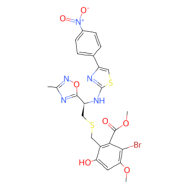 COC(=O)c1c(Br)c(OC)cc(O)c1CSC[C@H](Nc1nc(-c2ccc([N+](=O)[O-])cc2)cs1)c1nc(C)no1